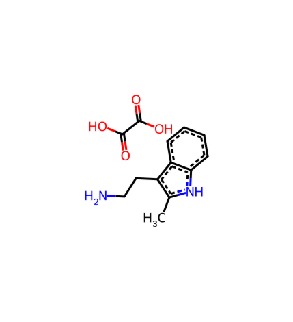 Cc1[nH]c2ccccc2c1CCN.O=C(O)C(=O)O